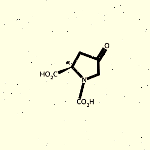 O=C1C[C@H](C(=O)O)N(C(=O)O)C1